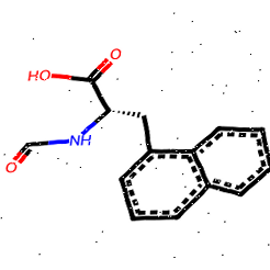 O=CN[C@@H](Cc1cccc2ccccc12)C(=O)O